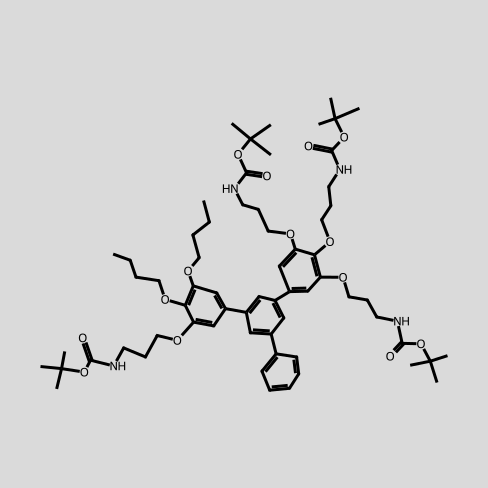 CCCCOc1cc(-c2cc(-c3ccccc3)cc(-c3cc(OCCCNC(=O)OC(C)(C)C)c(OCCCNC(=O)OC(C)(C)C)c(OCCCNC(=O)OC(C)(C)C)c3)c2)cc(OCCCNC(=O)OC(C)(C)C)c1OCCCC